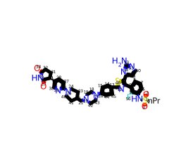 CCCS(=O)(=O)Nc1cccc(-c2nc(-c3ccc(N4CCN(CC5CCN(c6ccc([C@@H]7CCC(=O)NC7=O)cn6)CC5)CC4)cc3)sc2-c2ccnc(N)n2)c1F